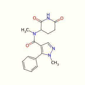 CN(C(=O)c1cnn(C)c1-c1ccccc1)C1CCC(=O)NC1=O